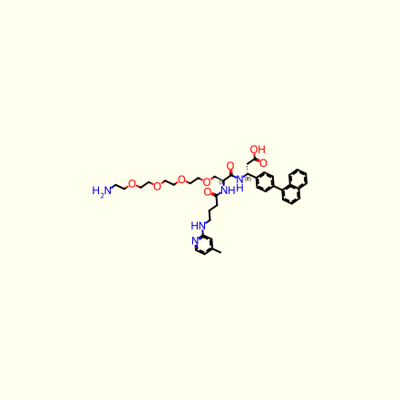 Cc1ccnc(NCCCC(=O)N[C@@H](COCCOCCOCCOCCN)C(=O)N[C@H](CC(=O)O)c2ccc(-c3cccc4ccccc34)cc2)c1